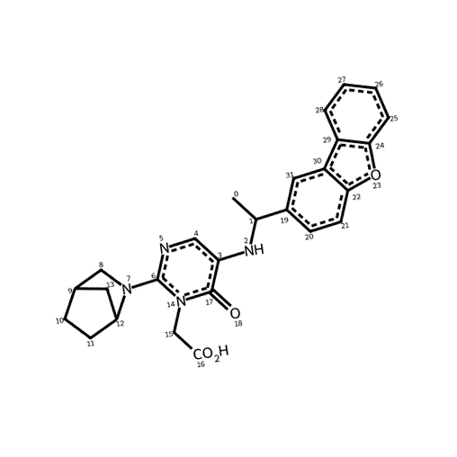 CC(Nc1cnc(N2CC3CCC2C3)n(CC(=O)O)c1=O)c1ccc2oc3ccccc3c2c1